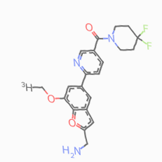 [3H]COc1cc(-c2ccc(C(=O)N3CCC(F)(F)CC3)cn2)cc2cc(CN)oc12